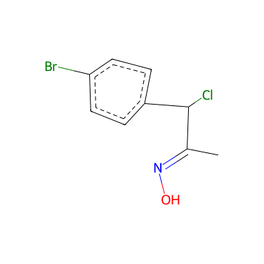 CC(=NO)C(Cl)c1ccc(Br)cc1